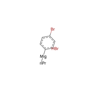 Br.CC[CH2][Mg][c]1ccc(Br)cc1